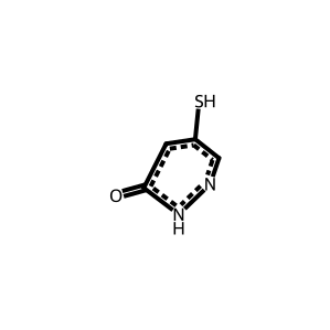 O=c1cc(S)cn[nH]1